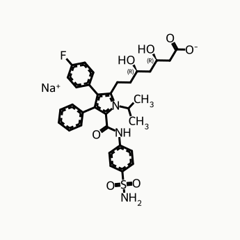 CC(C)n1c(CC[C@@H](O)C[C@@H](O)CC(=O)[O-])c(-c2ccc(F)cc2)c(-c2ccccc2)c1C(=O)Nc1ccc(S(N)(=O)=O)cc1.[Na+]